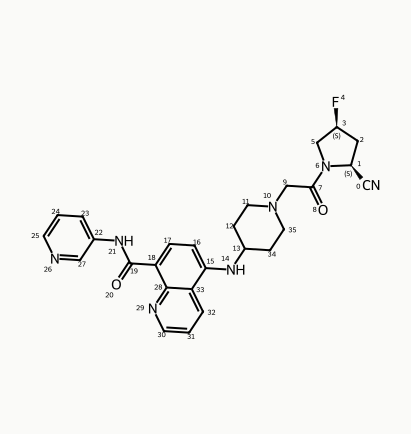 N#C[C@@H]1C[C@H](F)CN1C(=O)CN1CCC(Nc2ccc(C(=O)Nc3cccnc3)c3ncccc23)CC1